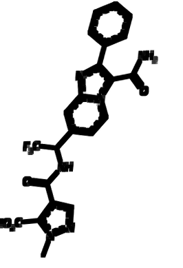 Cn1ncc(C(=O)NC(c2ccn3c(C(N)=O)c(-c4ccccc4)nc3c2)C(F)(F)F)c1C(=O)O